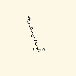 [N-]=[N+]=NCCOCCOCCOCCNC=O